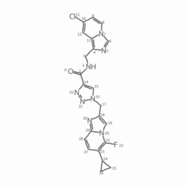 O=C(NCc1ncn2ccc(Cl)cc12)c1cn(Cc2cn3c(F)c(C4CC4)ccc3n2)nn1